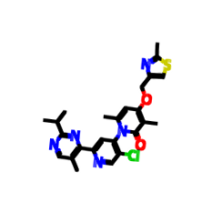 Cc1nc(COc2cc(C)n(-c3cc(-c4nc(C(C)C)ncc4C)ncc3Cl)c(=O)c2C)cs1